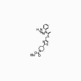 C=C(SCc1csc(C2CCN(C(=O)OC(C)(C)C)CC2)n1)N(/N=N\N)c1ccccc1